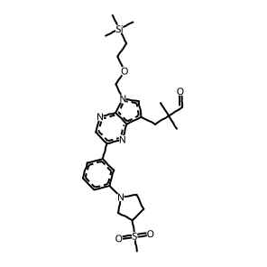 CC(C)(C=O)Cc1cn(COCC[Si](C)(C)C)c2ncc(-c3cccc(N4CCC(S(C)(=O)=O)C4)c3)nc12